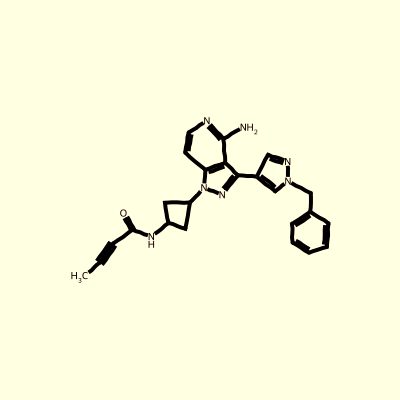 CC#CC(=O)NC1CC(n2nc(-c3cnn(Cc4ccccc4)c3)c3c(N)nccc32)C1